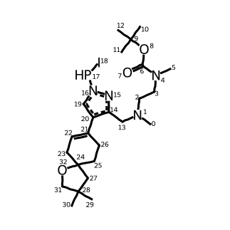 CN(CCN(C)C(=O)OC(C)(C)C)Cc1nn(PI)cc1C1=CCC2(CC1)CC(C)(C)CO2